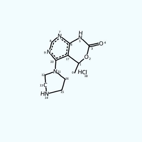 CC1OC(=O)Nc2ncnc(N3CCNCC3)c21.Cl